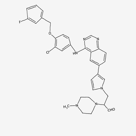 CN1CCN(C(C=O)Cn2ccc(-c3ccc4ncnc(Nc5ccc(OCc6cccc(F)c6)c(Cl)c5)c4c3)c2)CC1